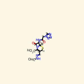 O=CNN=CC1=C(C(=O)O)N2C(=O)C(NC(=O)Cn3cnnn3)[C@@H]2SC1